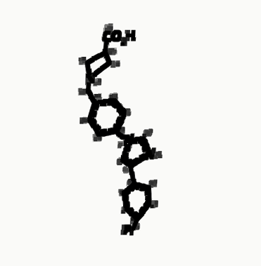 CC(C)c1ccc(-c2cn(-c3ccc(CN4CC(C(=O)O)C4)cc3)cn2)cc1